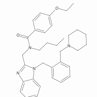 CCCCN(Cc1nc2ccccc2n1Cc1ccccc1CN1CCCCC1)C(=O)c1ccc(OCC)cc1